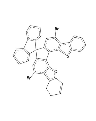 Brc1cc2c(c3oc4c(c13)CCC=C4)-c1c(cc(Br)c3c1sc1ccccc13)C21c2ccccc2-c2ccccc21